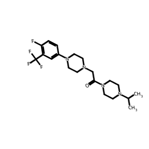 CC(C)N1CCN(C(=O)CN2CCN(c3ccc(F)c(C(F)(F)F)c3)CC2)CC1